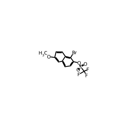 COc1ccc2c(Br)c(OS(=O)(=O)C(F)(F)F)ccc2c1